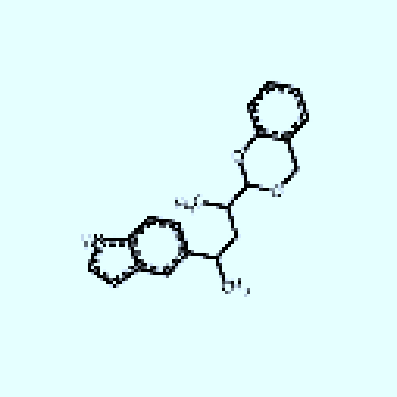 CC(CC(C)C1OCc2ccccc2O1)c1ccc2[nH]ccc2c1